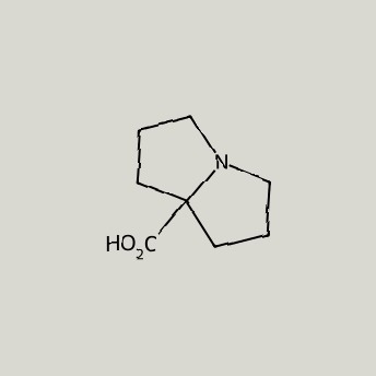 O=C(O)C12CCCN1CCC2